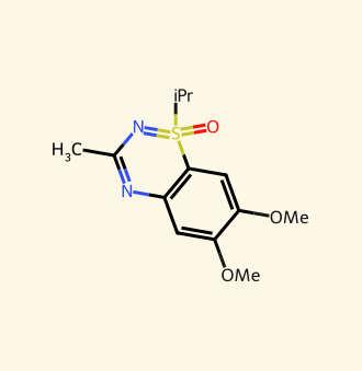 COc1cc2c(cc1OC)S(=O)(C(C)C)=NC(C)=N2